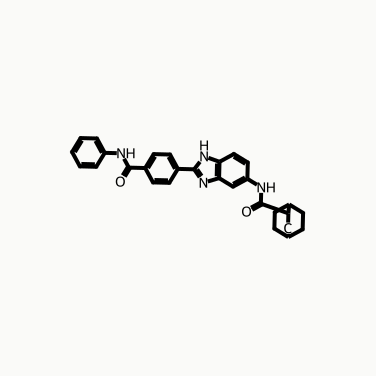 O=C(Nc1ccccc1)c1ccc(-c2nc3cc(NC(=O)C4CC5CCC4CC5)ccc3[nH]2)cc1